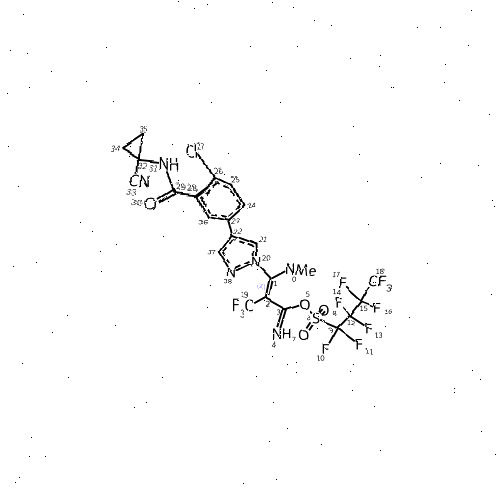 CN/C(=C(\C(=N)OS(=O)(=O)C(F)(F)C(F)(F)C(F)(F)C(F)(F)F)C(F)(F)F)n1cc(-c2ccc(Cl)c(C(=O)NC3(C#N)CC3)c2)cn1